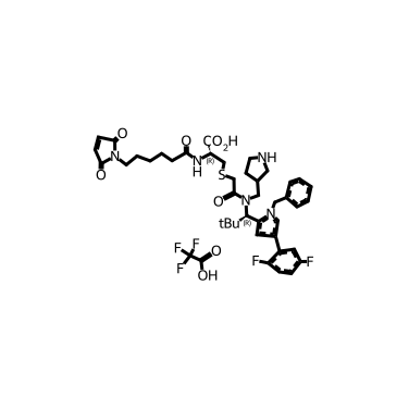 CC(C)(C)[C@H](c1cc(-c2cc(F)ccc2F)cn1Cc1ccccc1)N(CC1CCNC1)C(=O)CSC[C@H](NC(=O)CCCCCN1C(=O)C=CC1=O)C(=O)O.O=C(O)C(F)(F)F